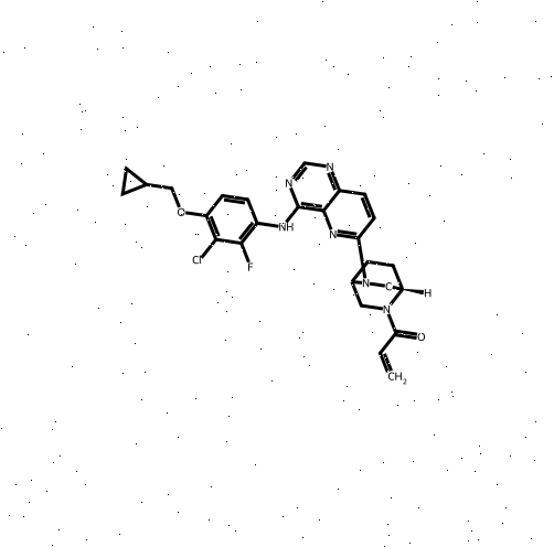 C=CC(=O)N1CC2CC[C@H]1CN2c1ccc2ncnc(Nc3ccc(OCC4CC4)c(Cl)c3F)c2n1